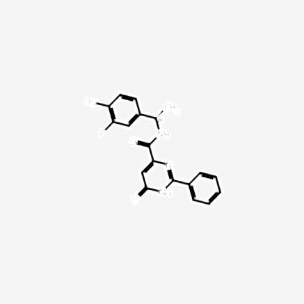 C[C@@H](NC(=O)c1cc(=O)[nH]c(-c2ccccc2)n1)c1ccc(S)c(F)c1